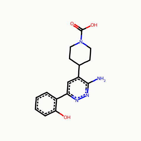 Nc1nnc(-c2ccccc2O)cc1C1CCN(C(=O)O)CC1